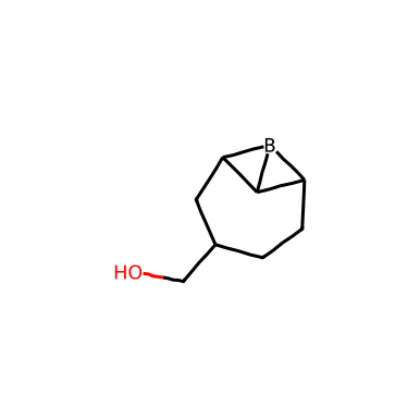 OCC1CCC2B3C(C1)C32